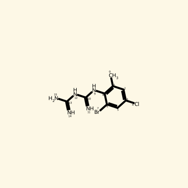 Cc1cc(Cl)cc(Br)c1NC(=N)NC(=N)N